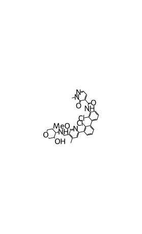 COc1nc(-c2cccc(-c3cccc(NC(=O)c4ccnn(C)c4=O)c3Cl)c2Cl)cc(C)c1CN[C@@H]1CCOC[C@@H]1O